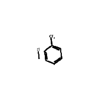 CCl.FC(F)(F)c1ccccc1